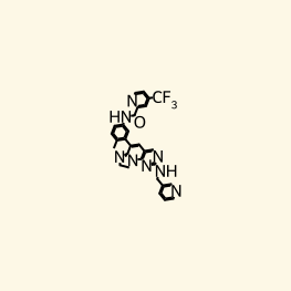 Cc1ccc(NC(=O)c2cc(C(F)(F)F)ccn2)cc1C1=Cc2cnc(NCc3cccnc3)nc2N2CCN=C12